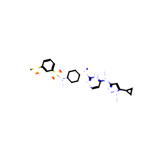 CN(c1nccc(Nc2cc(C3CC3)[nH]n2)n1)[C@H]1CC[C@H](NS(=O)(=O)c2cccc(S(C)(=O)=O)c2)CC1